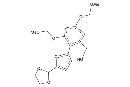 COCOc1cc(CO)c(-c2ccc(C3OCCO3)o2)c(OCOC)c1